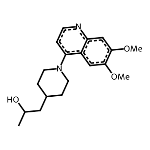 COc1cc2nccc(N3CCC(CC(C)O)CC3)c2cc1OC